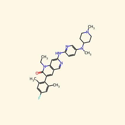 CCn1c(=O)c(-c2c(C)cc(F)cc2C)cc2cnc(Nc3ccc(N(C)C4CCN(C)CC4)cn3)cc21